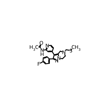 CSCN1CCn2nc(-c3ccc(F)cc3)c(-c3ccnc(NC(C)=O)c3)c2C1